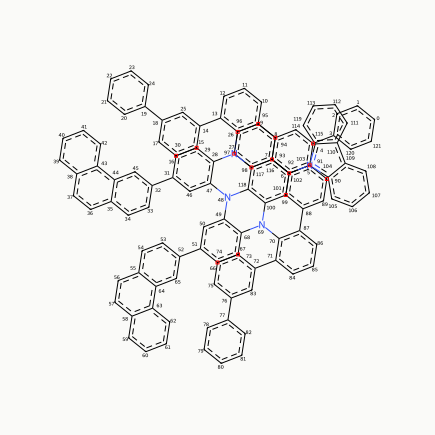 c1ccc(-c2cccc(-c3cccc(-c4cccc(-c5ccccc5)c4)c3N3c4ccc(-c5ccc6ccc7ccccc7c6c5)cc4N4c5cc(-c6ccc7ccc8ccccc8c7c6)ccc5N(c5c(-c6cccc(-c7ccccc7)c6)cccc5-c5cccc(-c6ccccc6)c5)c5cc(-n6c7ccccc7c7ccccc76)cc3c54)c2)cc1